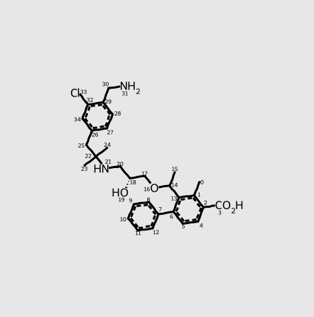 Cc1c(C(=O)O)ccc(-c2ccccc2)c1C(C)OC[C@H](O)CNC(C)(C)Cc1ccc(CN)c(Cl)c1